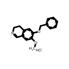 COc1cc2c(cc1OCc1ccccc1)CCN=C2.Cl